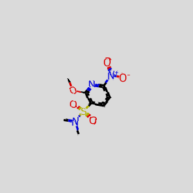 COc1nc([N+](=O)[O-])ccc1S(=O)(=O)N(C)C